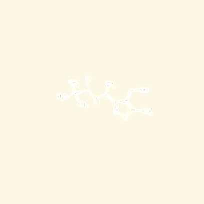 C[C@@H](N[S+]([O-])C(C)(C)C)c1cnn(C)c1CO